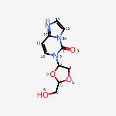 O=c1n(C2COC(CO)O2)ccc2nccn12